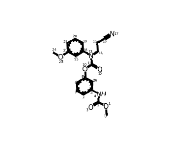 COC(=O)Nc1cccc(OC(=O)N(CCC#N)c2cccc(OC)c2)c1